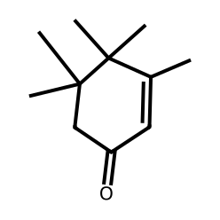 CC1=CC(=O)CC(C)(C)C1(C)C